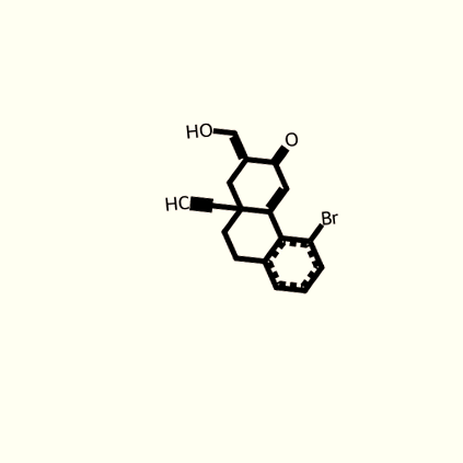 C#CC12CCc3cccc(Br)c3C1=CC(=O)/C(=C/O)C2